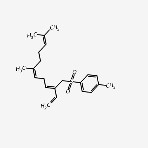 C=C/C(=C/C/C=C(/C)CCC=C(C)C)CS(=O)(=O)c1ccc(C)cc1